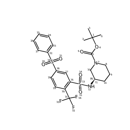 CC(C)(C)OC(=O)N1CCC[C@@H](NS(=O)(=O)c2cc(S(=O)(=O)c3ccccc3)ccc2C(F)(F)F)C1